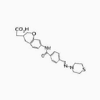 O=C(O)CC1COc2cc(NC(=O)c3ccc(C=NN4CCSCC4)cc3)ccc2C1